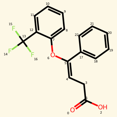 O=C(O)CC=C(Oc1ccccc1C(F)(F)F)c1ccccc1